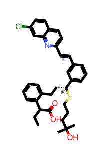 CCC(C(=O)O)c1ccccc1CC[C@@H](SCCCC(C)(C)O)c1cccc(/C=C/c2ccc3ccc(Cl)cc3n2)c1